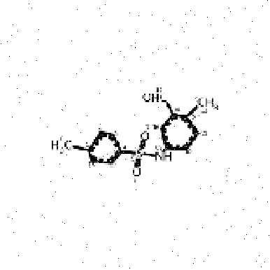 Cc1ccc(S(=O)(=O)Nc2ccc(C)c(C=O)c2)cc1